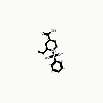 CCC1CC(C(=O)O)CCN1S(=O)(=O)c1ccccc1